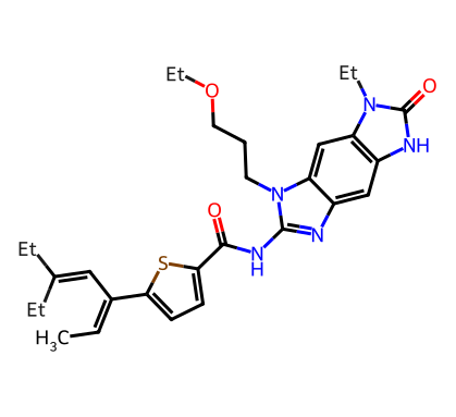 C/C=C(\C=C(CC)CC)c1ccc(C(=O)Nc2nc3cc4[nH]c(=O)n(CC)c4cc3n2CCCOCC)s1